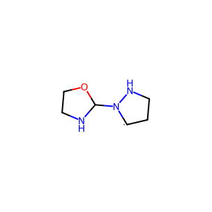 [CH]1CCNN1C1NCCO1